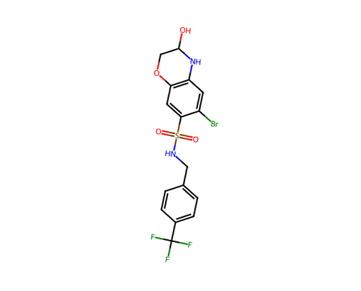 O=S(=O)(NCc1ccc(C(F)(F)F)cc1)c1cc2c(cc1Br)NC(O)CO2